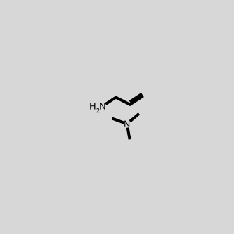 C=CCN.CN(C)C